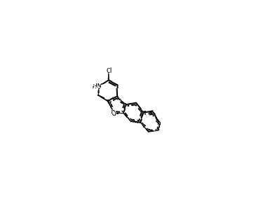 ClC1=Cc2c(oc3cc4ccccc4cc23)CN1